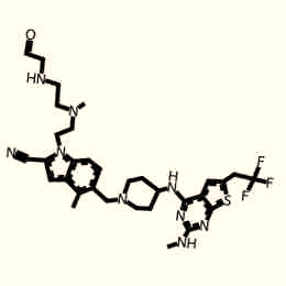 CNc1nc(NC2CCN(Cc3ccc4c(cc(C#N)n4CCN(C)CCNCC=O)c3C)CC2)c2cc(CC(F)(F)F)sc2n1